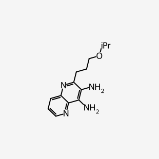 CC(C)OCCCc1nc2cccnc2c(N)c1N